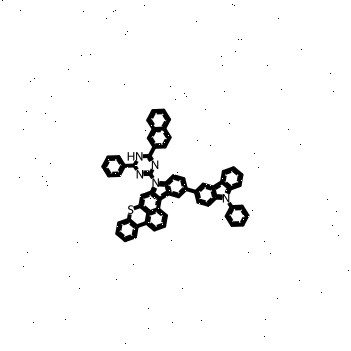 c1ccc(C2N=C(n3c4ccc(-c5ccc6c(c5)c5ccccc5n6-c5ccccc5)cc4c4c5cccc6c5c(cc43)Sc3ccccc3-6)N=C(c3ccc4ccccc4c3)N2)cc1